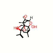 C=C(C)C(=O)O[C@@H]1[C@@H](O)[C@H]2O[C@@H]3C=C(C)CC[C@]3(CO)[C@]1(C)[C@]21CO1